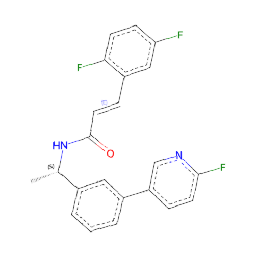 C[C@H](NC(=O)/C=C/c1cc(F)ccc1F)c1cccc(-c2ccc(F)nc2)c1